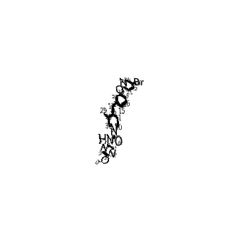 COc1cnc(NC(=O)N2CC/C(=C\c3cccc(Oc4ccc(Br)cn4)c3)C(C)C2)cn1